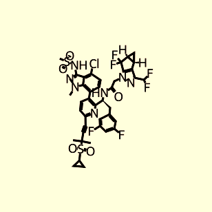 Cn1nc(NS(C)(=O)=O)c2c(Cl)ccc(-c3ccc(C#CC(C)(C)S(=O)(=O)C4CC4)nc3[C@H](Cc3cc(F)cc(F)c3)NC(=O)Cn3nc(C(F)F)c4c3C(F)(F)[C@@H]3C[C@H]43)c21